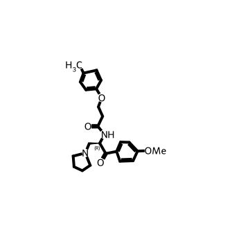 COc1ccc(C(=O)[C@@H](CN2CCCC2)NC(=O)CCOc2ccc(C)cc2)cc1